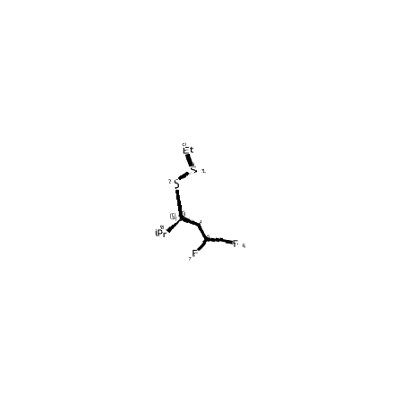 CCSS[C@@H](CC(F)F)C(C)C